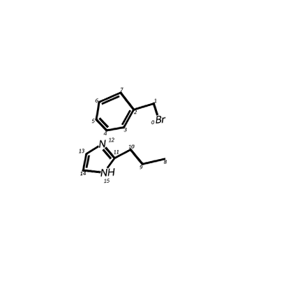 BrCc1ccccc1.CCCc1ncc[nH]1